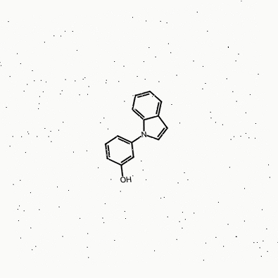 Oc1cccc(-n2ccc3cc[c]cc32)c1